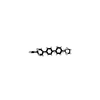 N#Cc1ncc(-c2ccc(-c3ccc(C4OCCO4)cc3)cc2)cn1